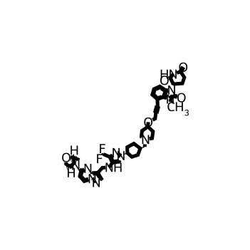 Cn1c(=O)n(C2CCC(=O)NC2=O)c2cccc(C#CCOC3CCN(C[C@H]4CC[C@@H](n5cc(NCc6cnn7ccc(N8C[C@H]9C[C@@H]8CO9)nc67)c(C(F)F)n5)CC4)CC3)c21